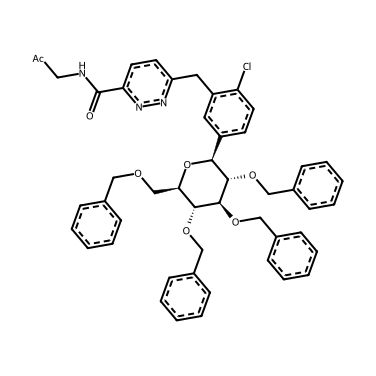 CC(=O)CNC(=O)c1ccc(Cc2cc([C@@H]3O[C@H](COCc4ccccc4)[C@@H](OCc4ccccc4)[C@H](OCc4ccccc4)[C@H]3OCc3ccccc3)ccc2Cl)nn1